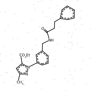 CCOC(=O)c1cc(C)nn1-c1cccc(CNC(=O)CCc2ccccc2)c1